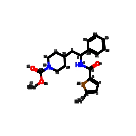 CCCc1ccc(C(=O)NC(CC2CCN(C(=O)OC(C)(C)C)CC2)c2ccccc2)s1